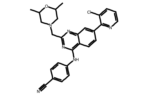 CC1CN(Cc2nc(Nc3ccc(C#N)cc3)c3ccc(-c4ncccc4Cl)cc3n2)CC(C)O1